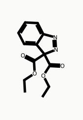 CCOC(=O)C1(C(=O)OCC)N=Nc2ccccc21